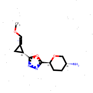 N[C@@H]1CC[C@@H](c2nnc([C@@H]3C/C3=C\OC(F)(F)F)o2)OC1